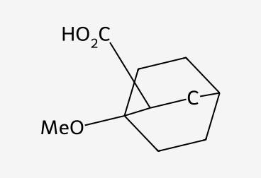 COC12CCC(CC1)CC2C(=O)O